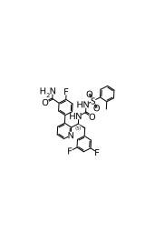 Cc1ccccc1S(=O)(=O)NC(=O)N[C@@H](Cc1cc(F)cc(F)c1)c1ncccc1-c1ccc(F)c(C(N)=O)c1